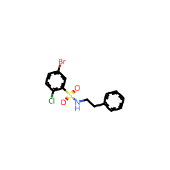 O=S(=O)(NCCc1ccccc1)c1cc(Br)ccc1Cl